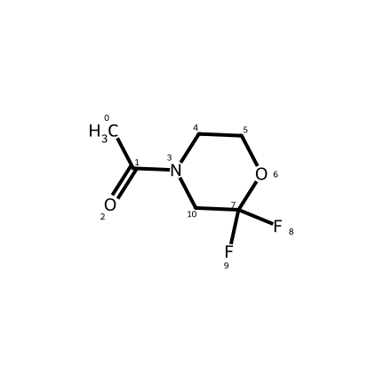 CC(=O)N1CCOC(F)(F)C1